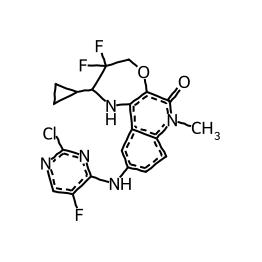 Cn1c(=O)c2c(c3cc(Nc4nc(Cl)ncc4F)ccc31)NC(C1CC1)C(F)(F)CO2